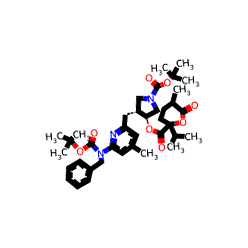 Cc1cc(C[C@@H]2CN(C(=O)OC(C)(C)C)C[C@@H]2OC(=O)C2(C(C)C)CCC(C)C(=O)O2)nc(N(Cc2ccccc2)C(=O)OC(C)(C)C)c1